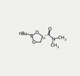 CCCCB1OC[C@@H](C(=O)N(C)C)O1